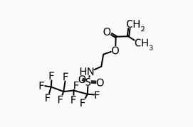 C=C(C)C(=O)OCCNS(=O)(=O)C(F)(F)C(F)(F)C(F)(F)C(F)(F)F